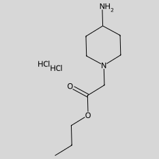 CCCOC(=O)CN1CCC(N)CC1.Cl.Cl